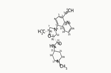 C#Cc1ccc(N2C[C@@H](C)O[C@@H](C(=O)NC3CCN(C)CC3)C2)c2cccnc12